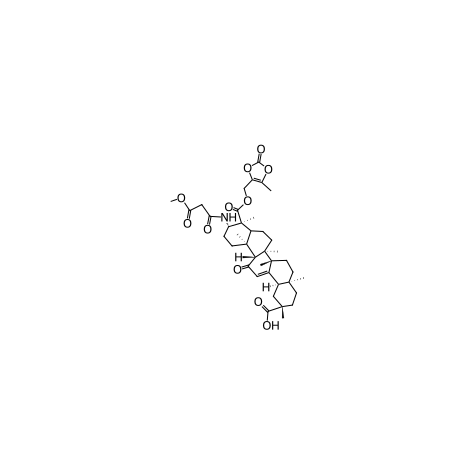 COC(=O)CC(=O)N[C@H]1CC[C@@]2(C)C(CC[C@]3(C)[C@@H]2C(=O)C=C2[C@@H]4C[C@@](C)(C(=O)O)CC[C@]4(C)CC[C@]23C)[C@]1(C)C(=O)OCc1oc(=O)oc1C